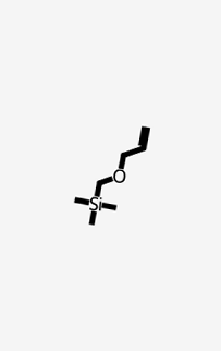 C=CCOC[Si](C)(C)C